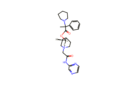 CC(C(=O)O[C@H]1C[N+]2(CC(=O)Nc3cnccn3)CCC1CC2)(c1ccccc1)N1CCCCC1